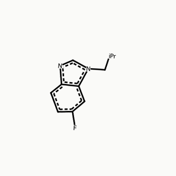 CC(C)Cn1cnc2ccc(F)cc21